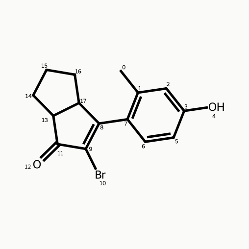 Cc1cc(O)ccc1C1=C(Br)C(=O)C2CCCC12